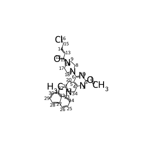 COc1nc2c(c(N3CCN(C(=O)/C=C/CCl)CC3)n1)CCN(c1cccc3cccc(C)c13)C2